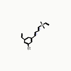 C=Cc1cc(/C=C/C=C/[Si](C)(C)C=C)cc(CC)c1